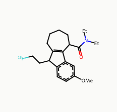 CCN(CC)C(=O)C1CCCCC2=C1c1cc(OC)ccc1C2CC[18F]